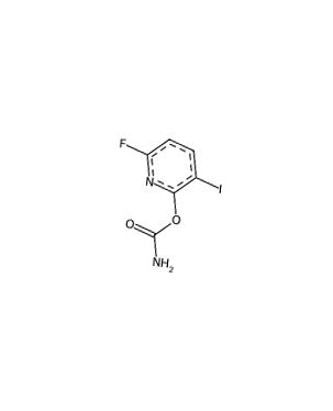 NC(=O)Oc1nc(F)ccc1I